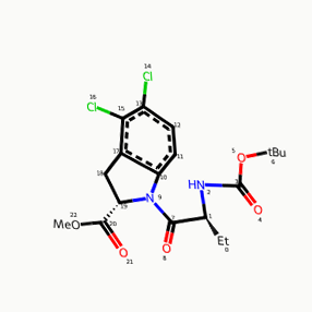 CC[C@H](NC(=O)OC(C)(C)C)C(=O)N1c2ccc(Cl)c(Cl)c2C[C@H]1C(=O)OC